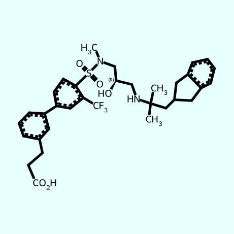 CN(C[C@H](O)CNC(C)(C)CC1Cc2ccccc2C1)S(=O)(=O)c1ccc(-c2cccc(CCC(=O)O)c2)cc1C(F)(F)F